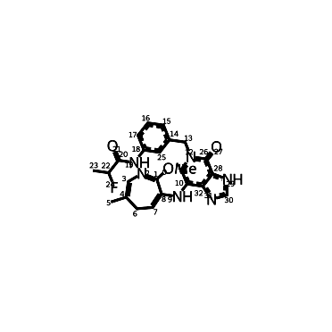 COC1=NC=C(C)CC=C1Nc1cn(Cc2cccc(NC(=O)C(C)F)c2)c(=O)c2[nH]cnc12